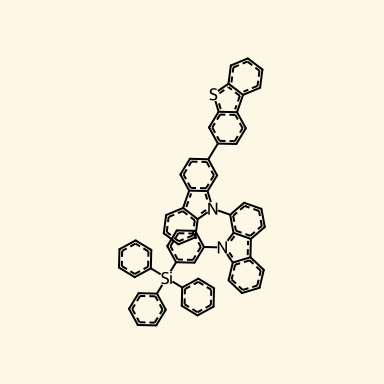 c1ccc([Si](c2ccccc2)(c2ccccc2)c2cccc(-n3c4ccccc4c4cccc(-n5c6ccccc6c6ccc(-c7ccc8c(c7)sc7ccccc78)cc65)c43)c2)cc1